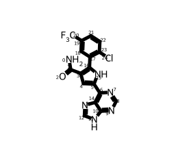 NC(=O)c1cc(-c2ncnc3[nH]cnc23)[nH]c1-c1cc(C(F)(F)F)ccc1Cl